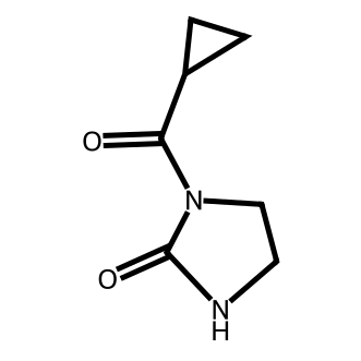 O=C1NCCN1C(=O)C1CC1